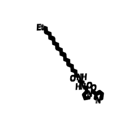 CCC=CCC=CCC=CCC=CCC=CCCCC(=O)NCCNC(=O)C1CCCN1C(=O)c1cccnc1